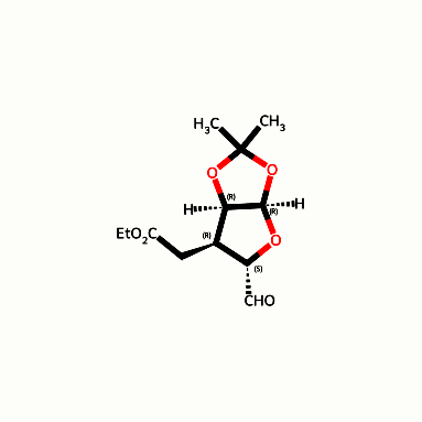 CCOC(=O)C[C@H]1[C@H]2OC(C)(C)O[C@H]2O[C@@H]1C=O